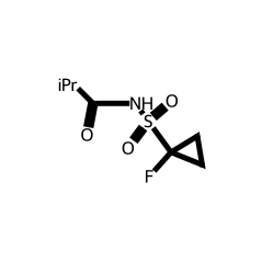 CC(C)C(=O)NS(=O)(=O)C1(F)CC1